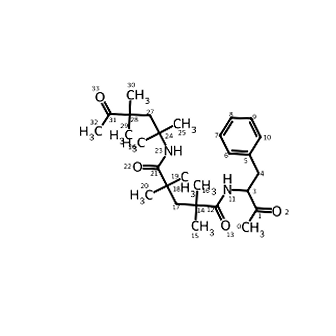 CC(=O)C(Cc1ccccc1)NC(=O)C(C)(C)CC(C)(C)C(=O)NC(C)(C)CC(C)(C)C(C)=O